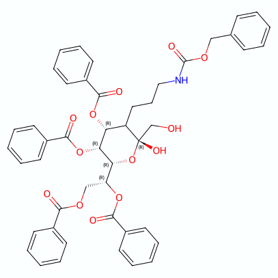 O=C(NCCCC1[C@@H](OC(=O)c2ccccc2)[C@@H](OC(=O)c2ccccc2)[C@@H]([C@@H](COC(=O)c2ccccc2)OC(=O)c2ccccc2)O[C@@]1(O)CO)OCc1ccccc1